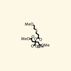 COCCSCCC(=O)OC(CC(=O)OC)(CC(=O)OC)C(=O)OC